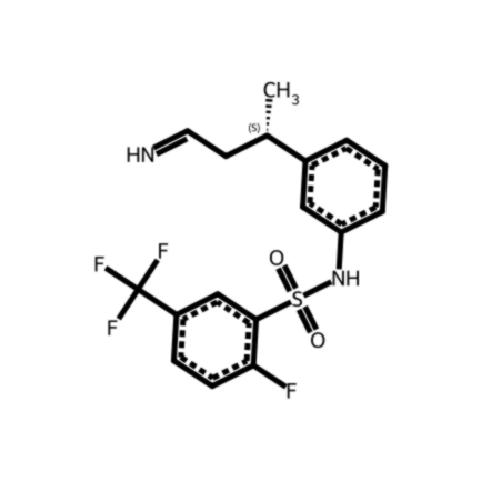 C[C@@H](CC=N)c1cccc(NS(=O)(=O)c2cc(C(F)(F)F)ccc2F)c1